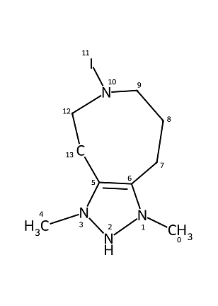 CN1NN(C)C2=C1CCCN(I)CC2